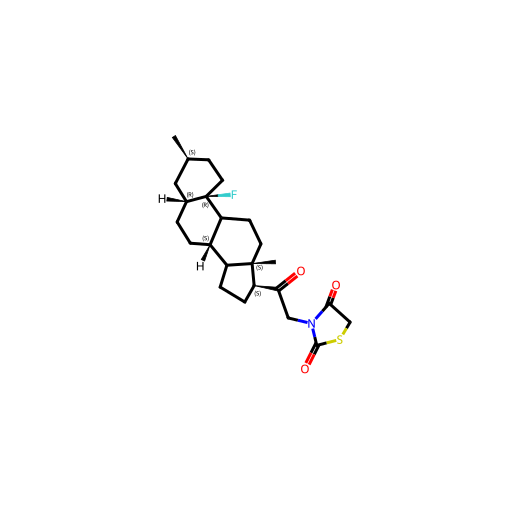 C[C@H]1CC[C@]2(F)C3CC[C@@]4(C)C(CC[C@@H]4C(=O)CN4C(=O)CSC4=O)[C@@H]3CC[C@@H]2C1